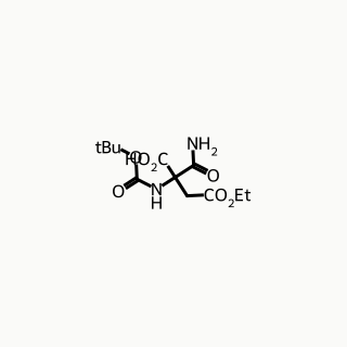 CCOC(=O)CC(NC(=O)OC(C)(C)C)(C(N)=O)C(=O)O